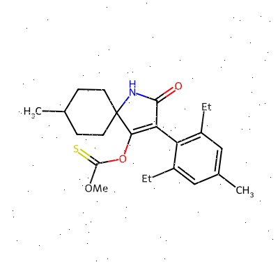 CCc1cc(C)cc(CC)c1C1=C(OC(=S)OC)C2(CCC(C)CC2)NC1=O